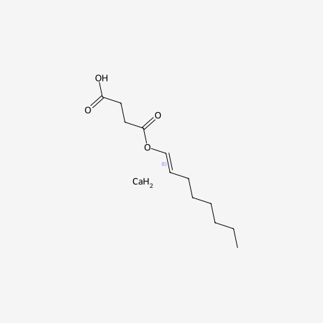 CCCCCC/C=C/OC(=O)CCC(=O)O.[CaH2]